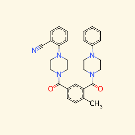 Cc1ccc(C(=O)N2CCN(c3ccccc3C#N)CC2)cc1C(=O)N1CCN(c2ccccc2)CC1